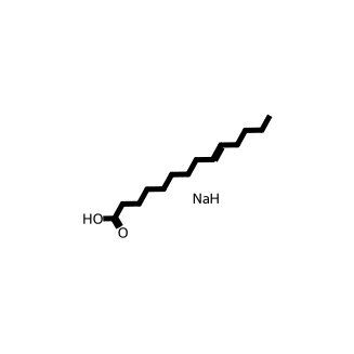 CCCCC=CCCCCCCCC(=O)O.[NaH]